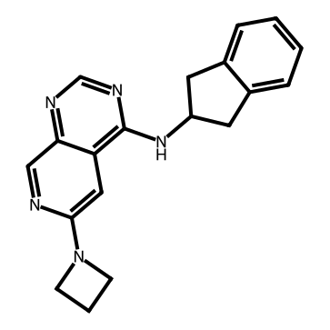 c1ccc2c(c1)CC(Nc1ncnc3cnc(N4CCC4)cc13)C2